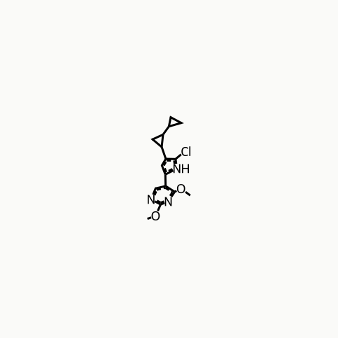 COc1ncc(-c2cc(C3CC3C3CC3)c(Cl)[nH]2)c(OC)n1